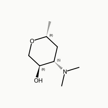 C[C@@H]1C[C@H](N(C)C)[C@@H](O)CO1